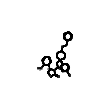 CC1C=CC=CC1[C@H]1COC(=O)N1C(=O)CC1(c2ccc(Cl)cc2)CCC(OCc2ccccc2)CC1